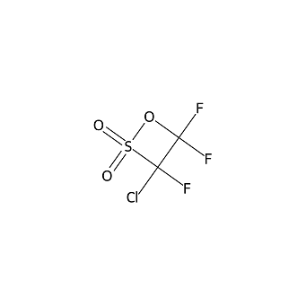 O=S1(=O)OC(F)(F)C1(F)Cl